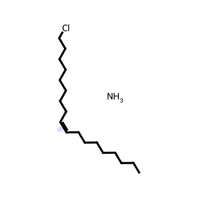 CCCCCCCC/C=C\CCCCCCCCCl.N